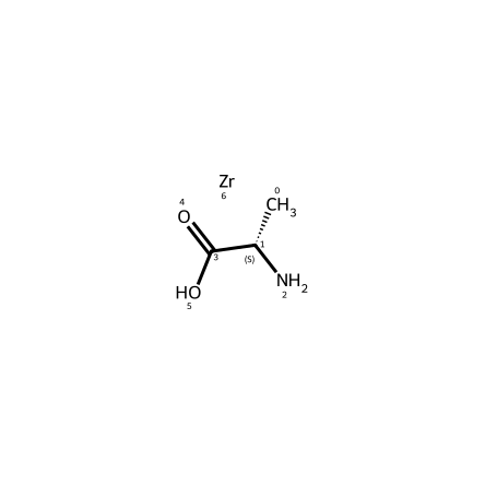 C[C@H](N)C(=O)O.[Zr]